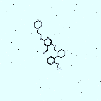 COc1ccccc1C1CCCCC1COc1cnc(OCCN2CCOCC2)cc1C=O